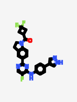 O=C(C1CC(F)(F)C1)N1CCc2cc(-c3ncc(F)c(Nc4ccc(-c5cn[nH]c5)cc4)n3)ccc21